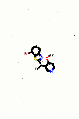 CC(C)Oc1ccncc1C(c1nc2cccc(Br)c2s1)C(C)C